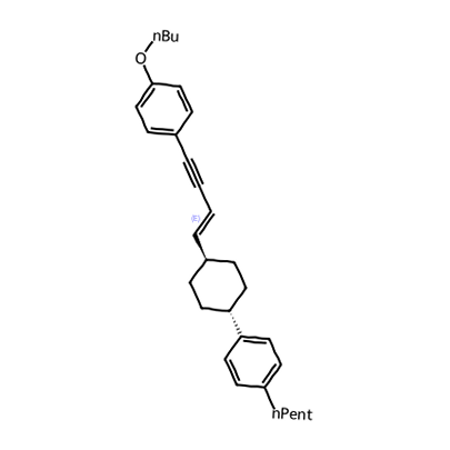 CCCCCc1ccc([C@H]2CC[C@H](/C=C/C#Cc3ccc(OCCCC)cc3)CC2)cc1